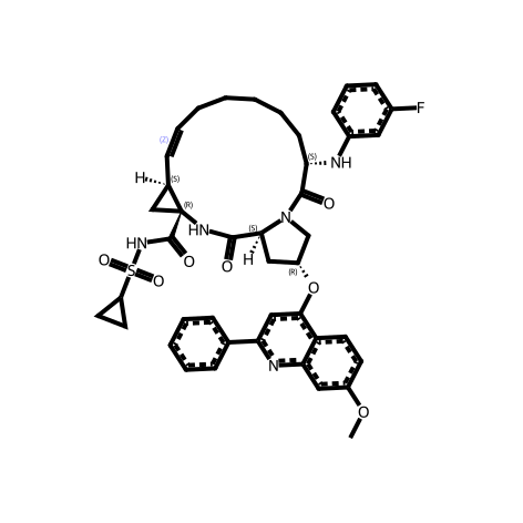 COc1ccc2c(O[C@@H]3C[C@H]4C(=O)N[C@]5(C(=O)NS(=O)(=O)C6CC6)C[C@H]5/C=C\CCCCC[C@H](Nc5cccc(F)c5)C(=O)N4C3)cc(-c3ccccc3)nc2c1